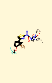 Cn1c(=O)c2c(ccn2CC(=O)Nc2nc(-c3ccc(OCC(F)(F)F)c(Br)c3)cs2)n(C)c1=O